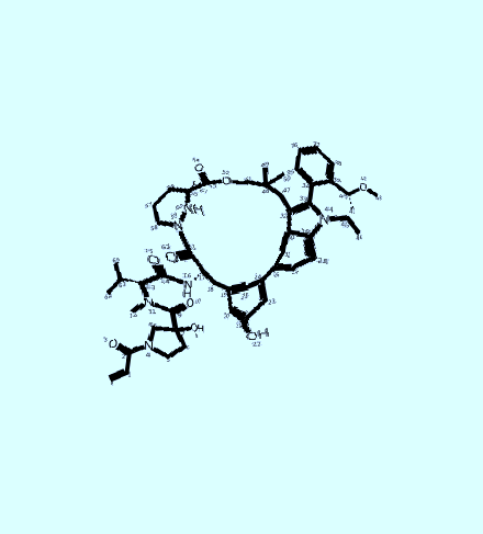 C=CC(=O)N1CCC(O)(C(=O)N(C)[C@H](C(=O)N[C@H]2Cc3cc(O)cc(c3)-c3ccc4c(c3)c(c(-c3ccccc3[C@@H](C)OC)n4CC)CC(C)(C)COC(=O)[C@@H]3CCCN(N3)C2=O)C(C)C)C1